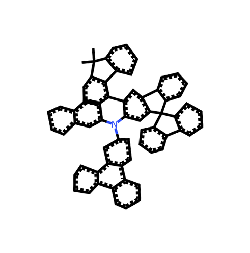 CC1(C)c2ccccc2-c2c(-c3cc4c(cc3N(c3ccc5ccccc5c3)c3ccc5c6ccccc6c6ccccc6c5c3)C3(c5ccccc5-c5ccccc53)c3ccccc3-4)cccc21